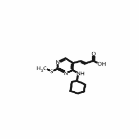 CSc1ncc(C=CC(=O)O)c(NC2CCCCC2)n1